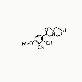 COc1ccc(C2CN3CCNCC3CO2)c(C)c1C#N